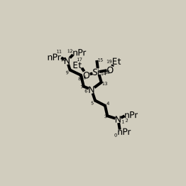 CCCN(CCC)CCCN(CCCN(CCC)CCC)C[Si](C)(OCC)OCC